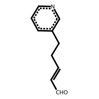 O=C/C=C/CCc1cccnc1